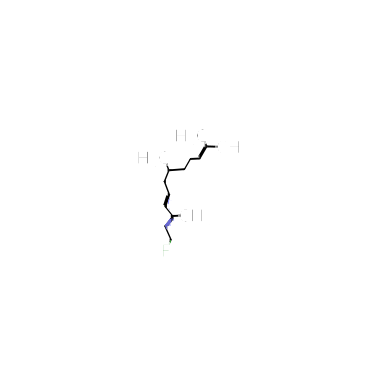 CC(C)=CCCC(C)C/C=C/C(C)=C/CF